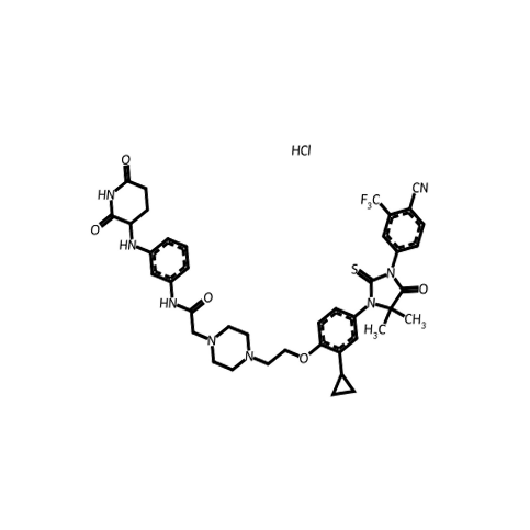 CC1(C)C(=O)N(c2ccc(C#N)c(C(F)(F)F)c2)C(=S)N1c1ccc(OCCN2CCN(CC(=O)Nc3cccc(NC4CCC(=O)NC4=O)c3)CC2)c(C2CC2)c1.Cl